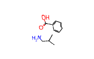 CC(C)CN.O=C(O)c1ccccc1